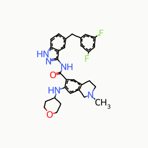 CN1CCc2cc(C(=O)Nc3n[nH]c4ccc(Cc5cc(F)cc(F)c5)cc34)c(NC3CCOCC3)cc2C1